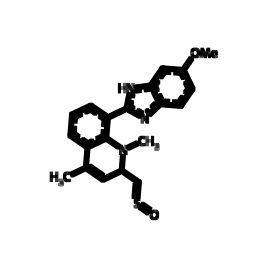 COc1ccc2nc(-c3cccc4c3N(C)C(C=S=O)C=C4C)[nH]c2c1